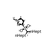 CCCCCCCC(CCCCCCC)S(=O)(=O)c1ccn(C)n1